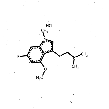 COc1cc(F)cc2c1c(CCN(C)C)cn2C.Cl